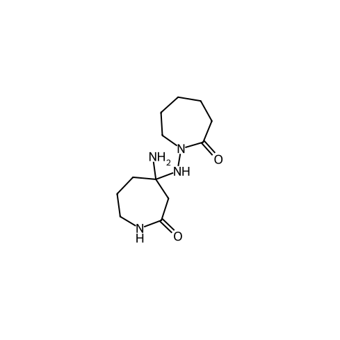 NC1(NN2CCCCCC2=O)CCCNC(=O)C1